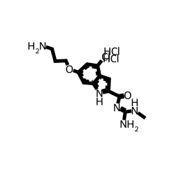 CNC(N)=NC(=O)c1cc2c(Cl)cc(OCCCN)cc2[nH]1.Cl.Cl